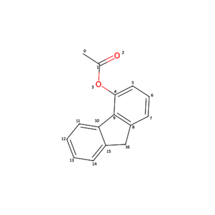 CC(=O)Oc1cccc2c1-c1ccccc1C2